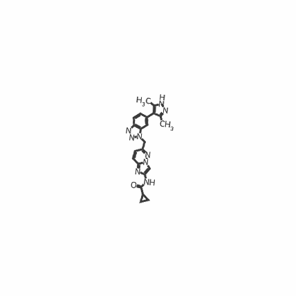 Cc1n[nH]c(C)c1-c1ccc2nnn(Cc3ccc4nc(NC(=O)C5CC5)cn4n3)c2c1